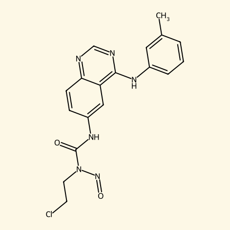 Cc1cccc(Nc2ncnc3ccc(NC(=O)N(CCCl)N=O)cc23)c1